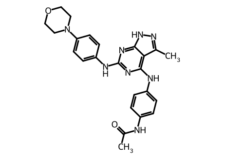 CC(=O)Nc1ccc(Nc2nc(Nc3ccc(N4CCOCC4)cc3)nc3[nH]nc(C)c23)cc1